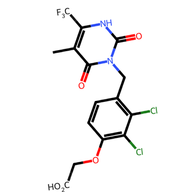 Cc1c(C(F)(F)F)[nH]c(=O)n(Cc2ccc(OCC(=O)O)c(Cl)c2Cl)c1=O